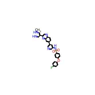 CN/C=C(\C=N)c1cnc2ccc(-c3cncc(NS(=O)(=O)c4ccc(Oc5ccc(F)cc5)cc4)c3)cc2n1